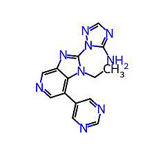 CCn1c(-n2ncnc2N)nc2cncc(-c3cncnc3)c21